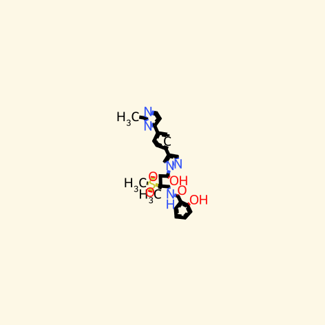 Cc1nccc(-c2ccc(-c3cnn(C(O)CC(C)(CNC(=O)c4ccccc4O)S(C)(=O)=O)c3)cc2)n1